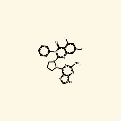 Nc1nc(N2CCC[C@H]2c2nc3cc(F)cc(F)c3c(=O)n2-c2ccccc2)c2nc[nH]c2n1